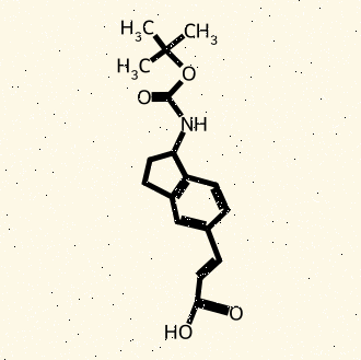 CC(C)(C)OC(=O)NC1CCc2cc(C=CC(=O)O)ccc21